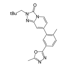 Cc1nnc(-c2ccc(C)c(-c3ccn4c(=O)n(CC(C)(C)C)nc4c3)c2)o1